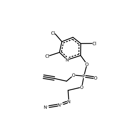 C#CCOP(=O)(OCN=[N+]=[N-])Oc1nc(Cl)c(Cl)cc1Cl